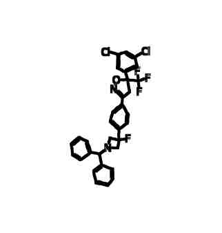 FC1(c2ccc(C3=NOC(c4cc(Cl)cc(Cl)c4)(C(F)(F)F)C3)cc2)CN(C(c2ccccc2)c2ccccc2)C1